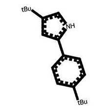 CC(C)(C)c1ccc(-c2cc(C(C)(C)C)c[nH]2)cc1